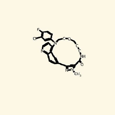 Cn1nc2cc1C(=O)NCCCOCCN(c1ccc(F)c(Cl)c1)c1ccnc3ccc-2cc13